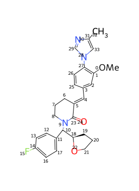 COc1cc(C=C2CCCN([C@@H](c3ccc(F)cc3)[C@H]3CCCO3)C2=O)ccc1-n1cnc(C)c1